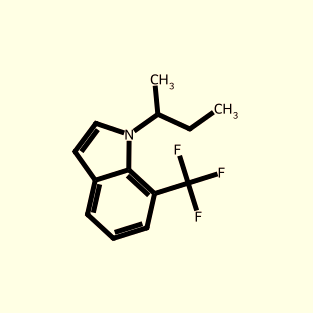 CCC(C)n1ccc2cccc(C(F)(F)F)c21